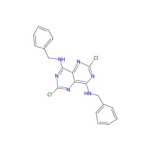 Clc1nc(NCc2ccccc2)c2nc(Cl)nc(NCc3ccccc3)c2n1